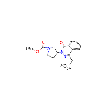 CC(C)(C)OC(=O)N1CCC(n2nc(CC(=O)O)c3ccccc3c2=O)C1